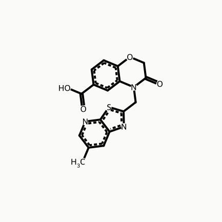 Cc1cnc2sc(CN3C(=O)COc4ccc(C(=O)O)cc43)nc2c1